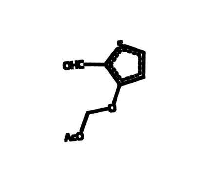 CC(=O)OCOc1ccsc1C=O